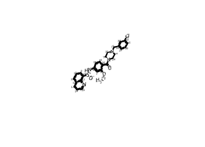 COc1cc(N[S+]([O-])c2cccc3cccnc23)ccc1C(=O)N1CCN(Cc2cccc(Cl)c2)CC1